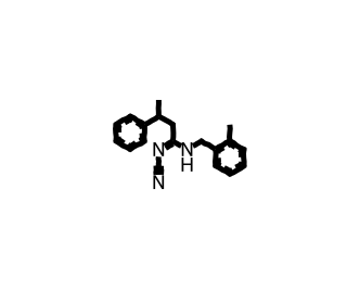 Cc1ccccc1CN/C(CC(C)c1ccccc1)=N\C#N